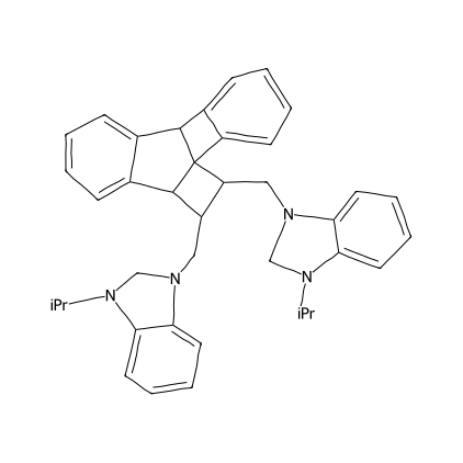 CC(C)N1CN(CC2C(CN3CN(C(C)C)c4ccccc43)C34c5ccccc5C3c3ccccc3C24)c2ccccc21